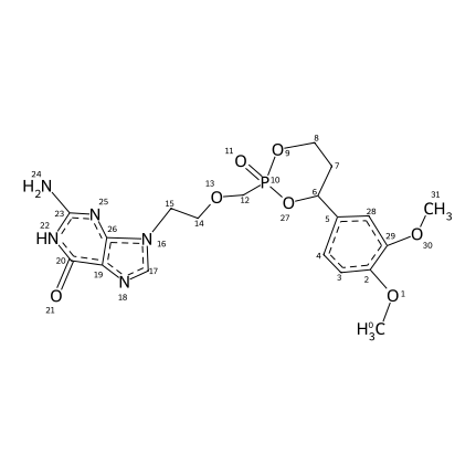 COc1ccc(C2CCOP(=O)(COCCn3cnc4c(=O)[nH]c(N)nc43)O2)cc1OC